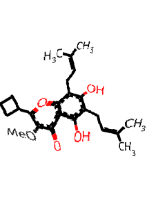 COc1c(C2CCC2)oc2c(CC=C(C)C)c(O)c(CC=C(C)C)c(O)c2c1=O